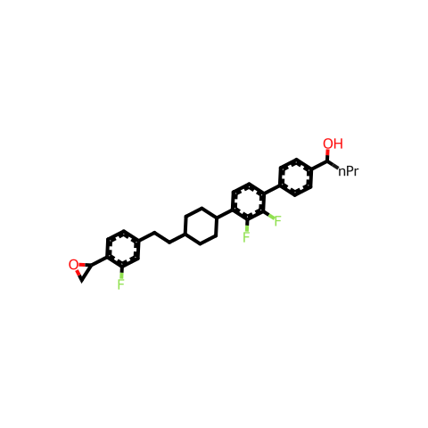 CCCC(O)c1ccc(-c2ccc(C3CCC(CCc4ccc(C5CO5)c(F)c4)CC3)c(F)c2F)cc1